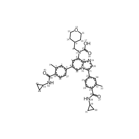 Cc1cc(-c2cc(N(CC3CCOCC3)C(=O)O)c3ncc(-c4ccc(C(=O)NC5CC5)c(C)c4)n3c2)ccc1C(=O)NC1CC1